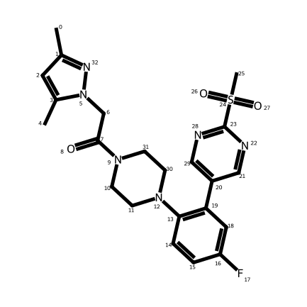 Cc1cc(C)n(CC(=O)N2CCN(c3ccc(F)cc3-c3cnc(S(C)(=O)=O)nc3)CC2)n1